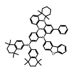 CC1(C)CCC(C)(C)c2cc(N(c3ccc4c(c3)N(c3ccc5oc6ccccc6c5c3)c3cc(-c5ccccc5)cc5c3B4c3cccc4c3N5C3(C)CCCCC43C)c3ccc4c(c3)C(C)(C)CCC4(C)C)ccc21